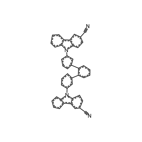 N#Cc1ccc2c(c1)c1ccccc1n2-c1cccc(-c2ccccc2-c2cccc(-n3c4ccccc4c4cc(C#N)ccc43)c2)c1